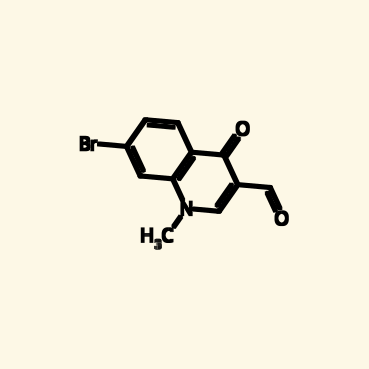 Cn1cc(C=O)c(=O)c2ccc(Br)cc21